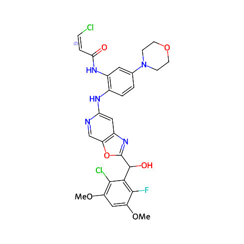 COc1cc(OC)c(Cl)c(C(O)c2nc3cc(Nc4ccc(N5CCOCC5)cc4NC(=O)/C=C\Cl)ncc3o2)c1F